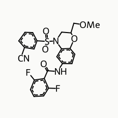 COCC1CN(S(=O)(=O)c2cccc(C#N)c2)c2cc(NC(=O)c3c(F)cccc3F)ccc2O1